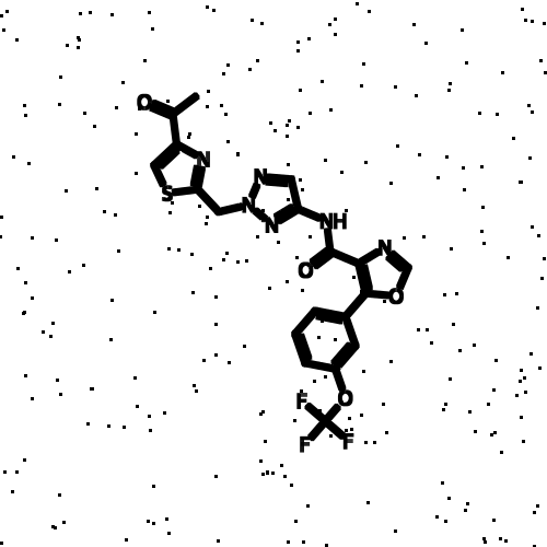 CC(=O)c1csc(Cn2ncc(NC(=O)c3ncoc3-c3cccc(OC(F)(F)F)c3)n2)n1